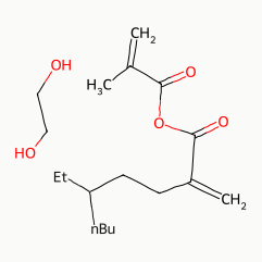 C=C(C)C(=O)OC(=O)C(=C)CCC(CC)CCCC.OCCO